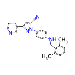 Cc1cccc(C)c1CNc1ccc(-n2nc(-c3cccnc3)cc2C#N)cc1